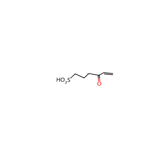 C=CC(=O)[CH]CCS(=O)(=O)O